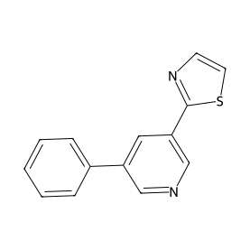 c1ccc(-c2cncc(-c3nccs3)c2)cc1